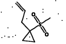 C=CCC1(S(C)(=O)=O)CC1